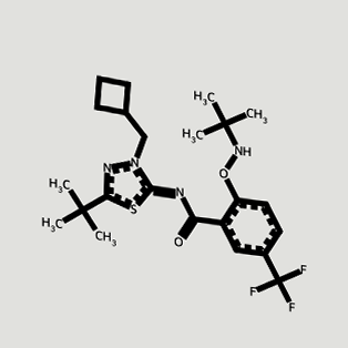 CC(C)(C)NOc1ccc(C(F)(F)F)cc1C(=O)N=c1sc(C(C)(C)C)nn1CC1CCC1